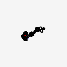 C=CC(=O)Oc1ccc(C=Cc2ccc(N(/C=C3/CCc4ccccc43)c3ccccc3)cc2)cc1